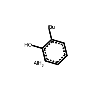 CCC(C)c1ccccc1O.[AlH3]